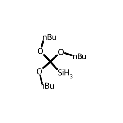 CCCCOC([SiH3])(OCCCC)OCCCC